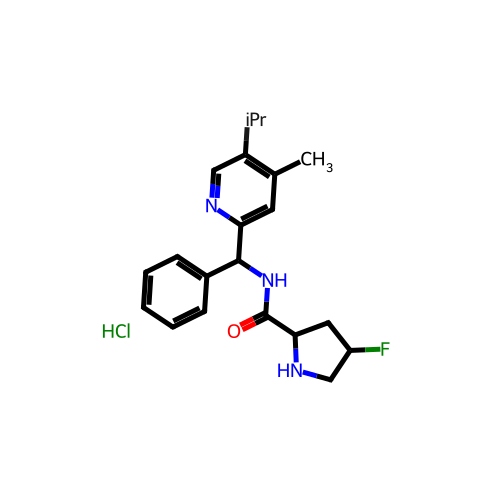 Cc1cc(C(NC(=O)C2CC(F)CN2)c2ccccc2)ncc1C(C)C.Cl